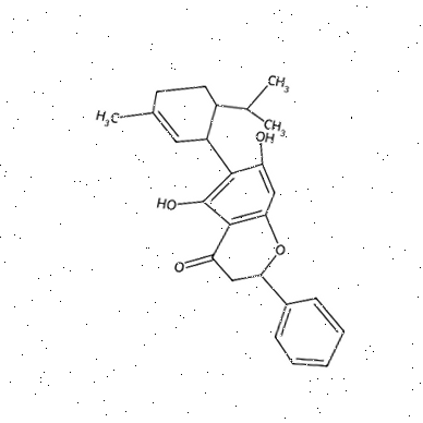 CC1=CC(c2c(O)cc3c(c2O)C(=O)CC(c2ccccc2)O3)C(C(C)C)CC1